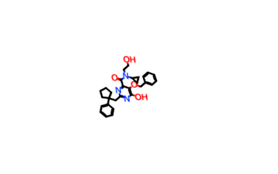 O=C(c1nc(CC2(c3ccccc3)CCCC2)nc(O)c1OCc1ccccc1)N(CCO)C1CC1